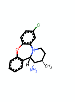 C[C@H]1CCN2c3cc(Cl)ccc3Oc3ccccc3[C@H]2[C@H]1N